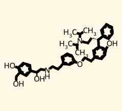 CC(C)N(CC[C@H](c1ccccc1)c1cc(CCOc2cccc(CCNC[C@@H](O)c3ccc(O)c(CO)c3)c2)ccc1O)C(C)C